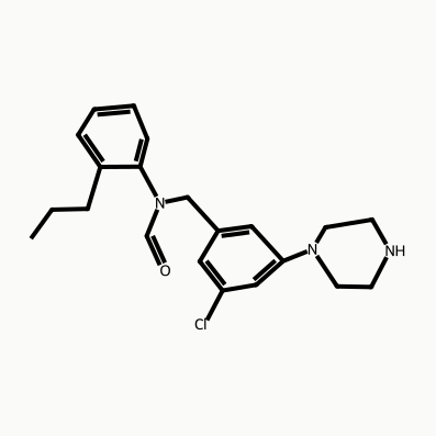 CCCc1ccccc1N(C=O)Cc1cc(Cl)cc(N2CCNCC2)c1